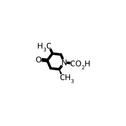 CC1CN(C(=O)O)[C@@H](C)CC1=O